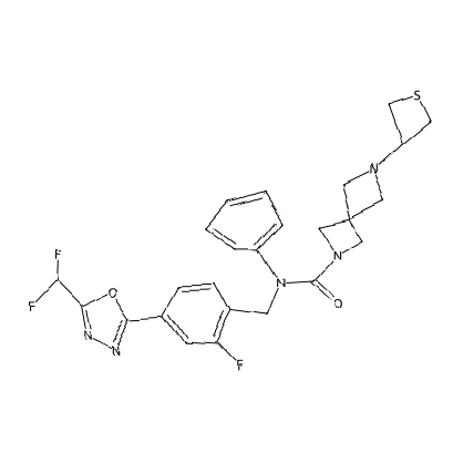 O=C(N1CC2(C1)CN(C1CSC1)C2)N(Cc1ccc(-c2nnc(C(F)F)o2)cc1F)c1ccccc1